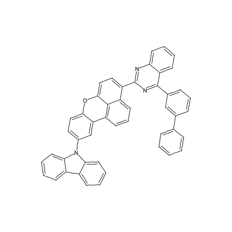 c1ccc(-c2cccc(-c3nc(-c4ccc5c6c(cccc46)-c4cc(-n6c7ccccc7c7ccccc76)ccc4O5)nc4ccccc34)c2)cc1